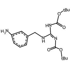 CC(C)(C)OC(=O)/N=C(\NCc1cccc(N)c1)NC(=O)OC(C)(C)C